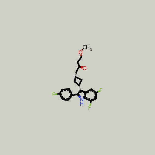 COCCC(=O)C[C@H]1C[C@H](c2c(-c3ccc(F)cc3)[nH]c3c(F)cc(F)cc32)C1